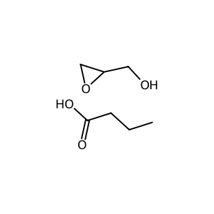 CCCC(=O)O.OCC1CO1